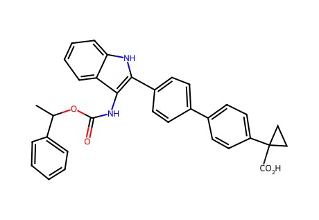 CC(OC(=O)Nc1c(-c2ccc(-c3ccc(C4(C(=O)O)CC4)cc3)cc2)[nH]c2ccccc12)c1ccccc1